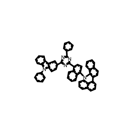 c1ccc(-c2nc(-c3ccc4c(c3)c3ccccc3n4-c3ccccc3)nc(-c3ccc(N4c5c(ccc6ccccc56)-c5cccc6cccc4c56)c4ccccc34)n2)cc1